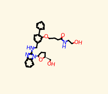 O=C(CCCOc1cc(CNc2nc3ccccc3n2[C@H]2CC[C@@H](CO)O2)ccc1-c1ccccc1)NCCO